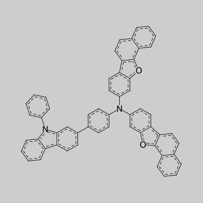 c1ccc(-n2c3ccccc3c3ccc(-c4ccc(N(c5ccc6c(c5)oc5c7ccccc7ccc65)c5ccc6c(c5)oc5c7ccccc7ccc65)cc4)cc32)cc1